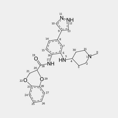 CN1CCC(Nc2cc(-c3cn[nH]c3)ccc2NC(=O)C2COc3ccccc3O2)CC1